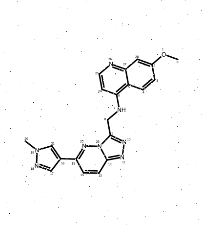 COc1ccc2c(NCc3nnc4ccc(-c5cnn(C)c5)nn34)ccnc2c1